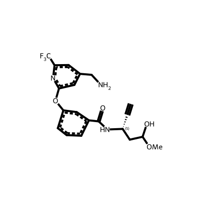 C#C[C@H](CC(O)OC)NC(=O)c1cccc(Oc2cc(CN)cc(C(F)(F)F)n2)c1